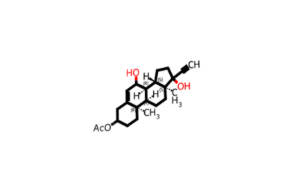 C#CC1(O)CC[C@H]2[C@@H]3C(O)C=C4CC(OC(C)=O)CC[C@]4(C)[C@@H]3CC[C@@]21C